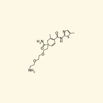 CC1=C(C(=O)Nc2ncc(C)s2)C=CC(CCOCCOCCN)(C(N)=O)C1